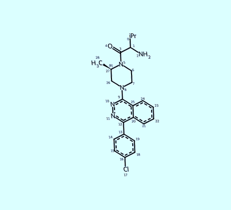 CC(C)C(N)C(=O)N1CCN(c2nnc(-c3ccc(Cl)cc3)c3ccccc23)C[C@H]1C